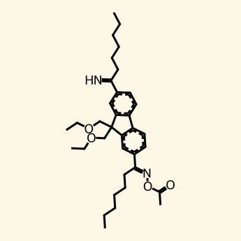 CCCCCCC(=N)c1ccc2c(c1)C(COCC)(COCC)c1cc(/C(CCCCCC)=N/OC(C)=O)ccc1-2